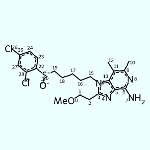 COCCc1nc2c(N)nc(C)c(C)c2n1CCCCC[S+]([O-])c1ccc(Cl)cc1Cl